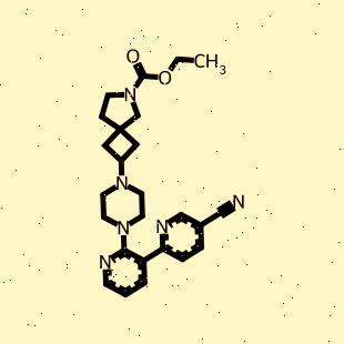 CCOC(=O)N1CCC2(CC(N3CCN(c4ncccc4-c4ccc(C#N)cn4)CC3)C2)C1